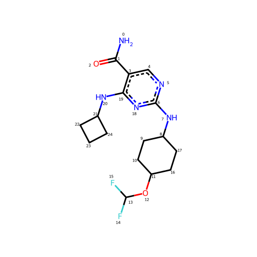 NC(=O)c1cnc(NC2CCC(OC(F)F)CC2)nc1NC1CCC1